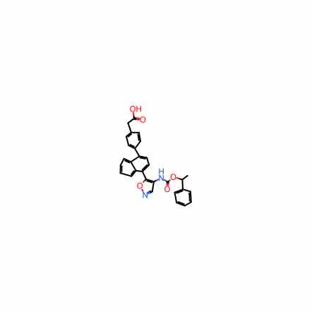 CC(OC(=O)Nc1cnoc1-c1ccc(-c2ccc(CC(=O)O)cc2)c2ccccc12)c1ccccc1